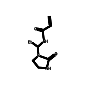 C=CC(=O)NC(CC)N1CCNC1=O